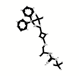 CC(COC1CC(CO[Si](c2ccccc2)(c2ccccc2)C(C)(C)C)C1)NC(=O)OC(C)(C)C